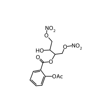 CC(=O)Oc1ccccc1C(=O)OC(CO[N+](=O)[O-])C(O)CO[N+](=O)[O-]